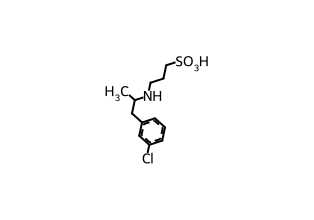 CC(Cc1cccc(Cl)c1)NCCCS(=O)(=O)O